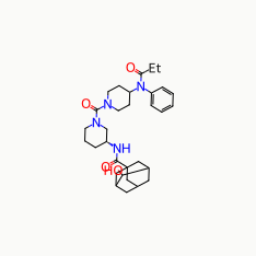 CCC(=O)N(c1ccccc1)C1CCN(C(=O)N2CCC[C@H](NC(=O)C34CC5CC(C3)C(O)C(C5)C4)C2)CC1